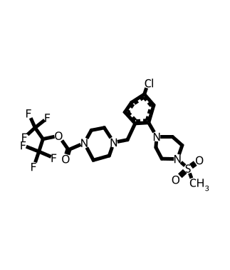 CS(=O)(=O)N1CCN(c2cc(Cl)ccc2CN2CCN(C(=O)OC(C(F)(F)F)C(F)(F)F)CC2)CC1